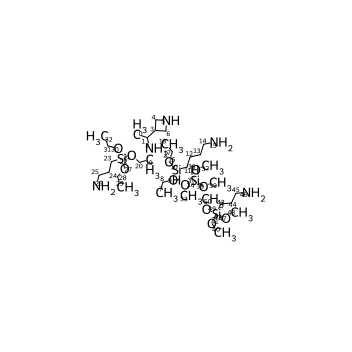 CC(N)C1CNC1.CCO[SiH](CCCCN)OCC.CCO[Si](CCCN)(OCC)OCC.CO[SiH](OC)OC.CO[Si](CCCN)(OC)OC